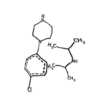 CC(C)NC(C)C.Clc1ccc(N2CCNCC2)cc1